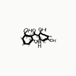 O=C(c1c(O)cccc1O)c1c(O)cc(O)cc1O